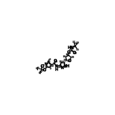 Cn1nc(OC(F)(F)Cl)cc1C(=O)Nc1cc([C@@H]2C[C@H](OC(=O)NC3(C)CC3)CO2)[nH]n1